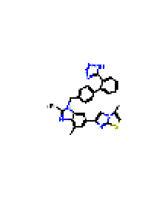 CCCc1nc2c(C)cc(-c3cn4c(C)csc4n3)cc2n1Cc1ccc(-c2ccccc2-c2nnn[nH]2)cc1